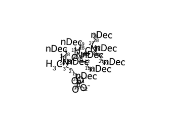 CCCCCCCCCCCCC[N+](C)(CCCCCCCCCC)CCCCCCCCCCCC.CCCCCCCCCCCCC[N+](C)(CCCCCCCCCC)CCCCCCCCCCCC.CCCCCCCCCCCCC[N+](C)(CCCCCCCCCC)CCCCCCCCCCCC.O=P([O-])([O-])[O-]